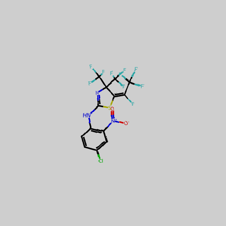 O=[N+]([O-])c1cc(Cl)ccc1NC1=NC(C(F)(F)F)(C(F)(F)F)C(=C(F)C(F)(F)F)S1